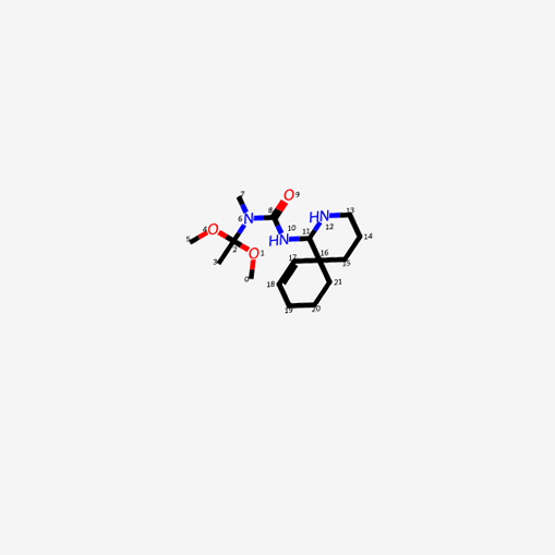 COC(C)(OC)N(C)C(=O)NC1NCCCC12C=CCCC2